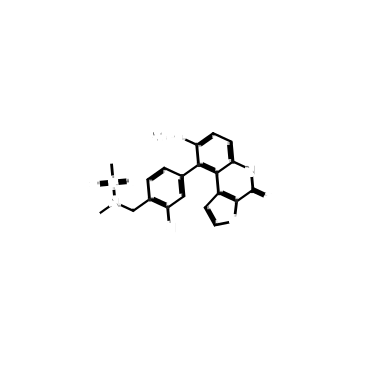 COc1ccc2[nH]c(=O)c3sccc3c2c1-c1ccc(CN(C)S(C)(=O)=O)c(Cl)c1